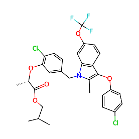 Cc1c(Oc2ccc(Cl)cc2)c2ccc(OC(F)(F)F)cc2n1Cc1ccc(Cl)c(O[C@@H](C)C(=O)OCC(C)C)c1